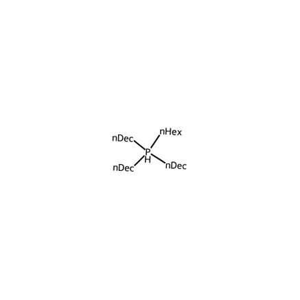 CCCCCCCCCC[PH](CCCCCC)(CCCCCCCCCC)CCCCCCCCCC